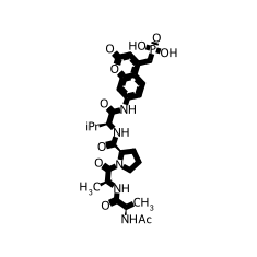 CC(=O)N[C@@H](C)C(=O)N[C@@H](C)C(=O)N1CCC[C@@H]1C(=O)N[C@H](C(=O)Nc1ccc2c(CP(=O)(O)O)cc(=O)oc2c1)C(C)C